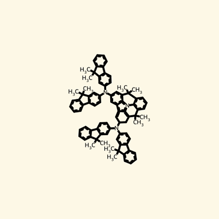 CC1(C)C2=c3c(c4cc(N(c5ccc6c(c5)C(C)(C)c5ccccc5-6)c5ccc6c(c5)C(C)(C)c5ccccc5-6)cc5c4n3-c3c1cccc3C5(C)C)=CC(N(c1ccc3c(c1)C(C)(C)c1ccccc1-3)c1ccc3c(c1)C(C)(C)c1ccccc1-3)C2